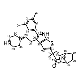 Cc1cc(C)cc(-c2[nH]c3sc(C(C)(C)C(=O)N4C5CCC4CC5)cc3c2CCN2CCNCC2)c1